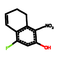 O=[N+]([O-])c1c(O)cc(F)c2c1CCC=C2